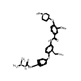 CCCCN1CCC(Oc2ccc(C(=O)Nc3ccc(Oc4ccc(NC(=O)NN(C)C)cc4)c(COC)c3)cc2OC)CC1